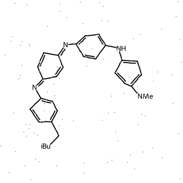 CCC(C)Cc1ccc(N=C2C=CC(=Nc3ccc(Nc4ccc(NC)cc4)cc3)C=C2)cc1